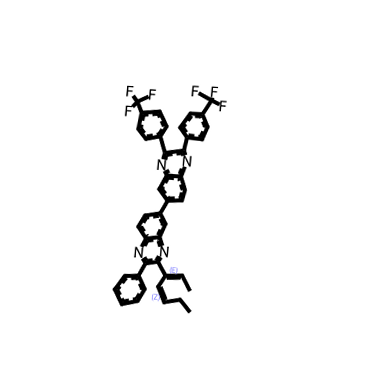 C/C=C(\C=C/CC)c1nc2cc(-c3ccc4nc(-c5ccc(C(F)(F)F)cc5)c(-c5ccc(C(F)(F)F)cc5)nc4c3)ccc2nc1-c1ccccc1